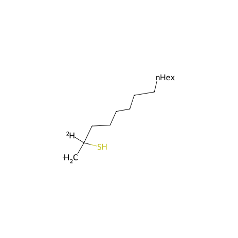 [2H]C([CH2])(S)CCCCCCCCCCCC